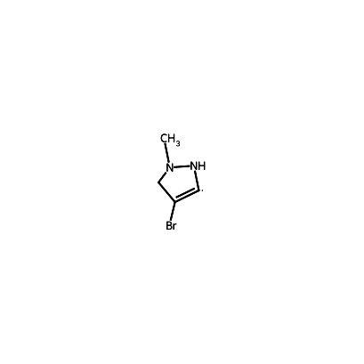 CN1CC(Br)=[C]N1